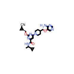 CC(NC(=O)c1cc(N2CCC(COc3cncnc3N)CC2)nc(OC[C@H]2CC2C#N)n1)C1CC1